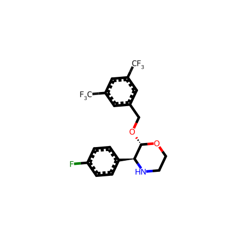 Fc1ccc([C@@H]2NCCO[C@H]2OCc2cc(C(F)(F)F)cc(C(F)(F)F)c2)cc1